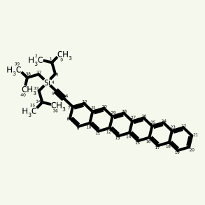 CC(C)C[Si](C#Cc1ccc2cc3cc4cc5cc6ccccc6cc5cc4cc3cc2c1)(CC(C)C)CC(C)C